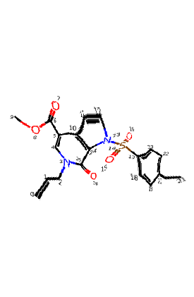 C=CCn1cc(C(=O)OC)c2ccn(S(=O)(=O)c3ccc(C)cc3)c2c1=O